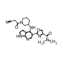 CN(C)C(=O)c1coc(-c2cnc3[nH]ccc3c2NC2CCCN(C(=O)CC#N)C2)n1